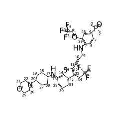 CP(C)(=O)c1ccc(NCC#Cc2sc3c(NC4CCC(N5CCOCC5)CC4)cccc3c2CC(F)(F)F)c(OCC(F)(F)F)c1